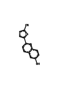 N#Cc1ccc(-c2ccc3cc(O)ccc3n2)s1